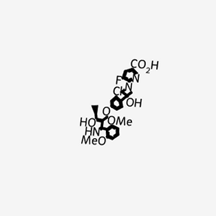 COc1cccc(OC)c1C(=N)/C(COc1ccc(C2(O)CN(c3ncc(C(=O)O)cc3F)C2)c(Cl)c1)=C(\O)C1CC1